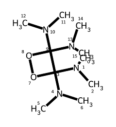 CN(C)C1(N(C)C)OOC1(N(C)C)N(C)C